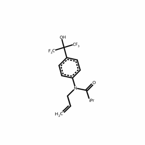 C=CCN(C(=O)C(C)C)c1ccc(C(O)(C(F)(F)F)C(F)(F)F)cc1